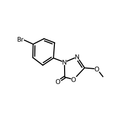 COc1nn(-c2ccc(Br)cc2)c(=O)o1